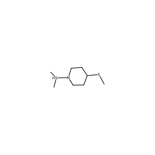 CSC1CCN([SH](C)C)CC1